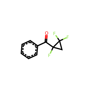 O=C(c1ccccc1)C1(F)CC1(F)F